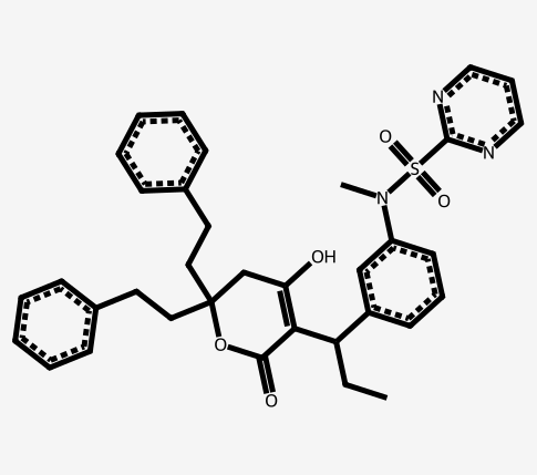 CCC(C1=C(O)CC(CCc2ccccc2)(CCc2ccccc2)OC1=O)c1cccc(N(C)S(=O)(=O)c2ncccn2)c1